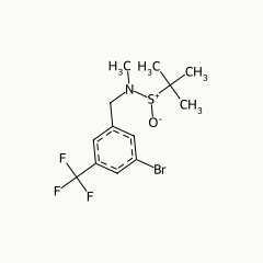 CN(Cc1cc(Br)cc(C(F)(F)F)c1)[S+]([O-])C(C)(C)C